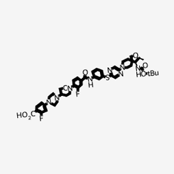 C[C@@H]1OCC2(CCN(c3cnc(Sc4cccc(NC(=O)c5ccc(N6CCC(N7CCN(c8ccc(C(=O)O)c(F)c8)CC7)CC6)c(F)c5)c4)cn3)CC2)[C@@H]1NC(=O)OC(C)(C)C